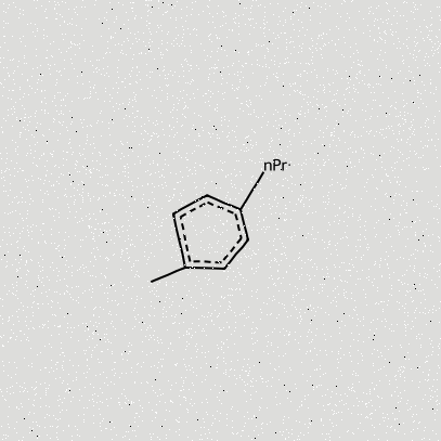 [CH2]C[CH]c1ccc(C)cc1